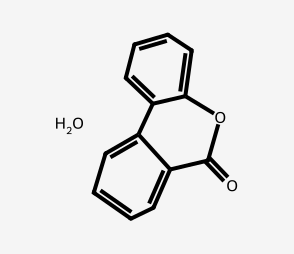 O.O=c1oc2ccccc2c2ccccc12